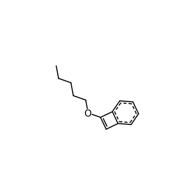 CCCCCOC1=Cc2ccccc21